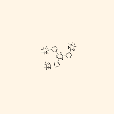 CC1(C)N=C(c2cccc(-c3nc(-c4cccc(C5=NC(C)(C)C(C)(C)S5)c4)nc(-c4cccc(C5=NC(C)(C)C(C)(C)S5)c4)n3)c2)SC1(C)C